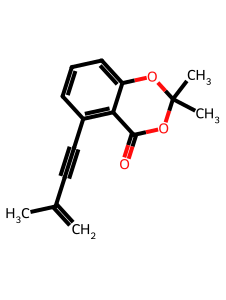 C=C(C)C#Cc1cccc2c1C(=O)OC(C)(C)O2